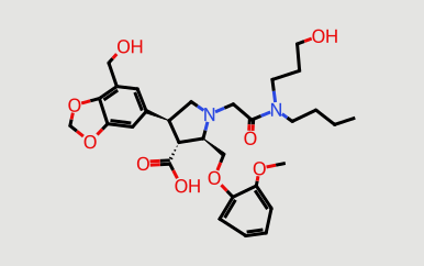 CCCCN(CCCO)C(=O)CN1C[C@H](c2cc(CO)c3c(c2)OCO3)[C@@H](C(=O)O)[C@@H]1COc1ccccc1OC